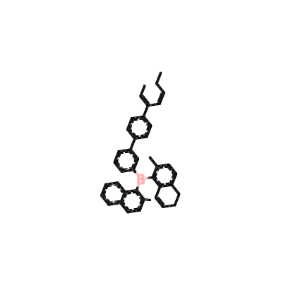 C/C=C(\C=C/CC)c1ccc(-c2cccc(B(c3c(C)ccc4c3C=CCC4)c3c(C)ccc4ccccc34)c2)cc1